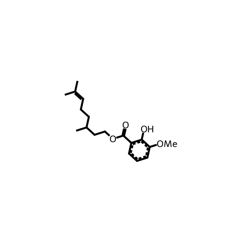 COc1cccc(C(=O)OCCC(C)CCC=C(C)C)c1O